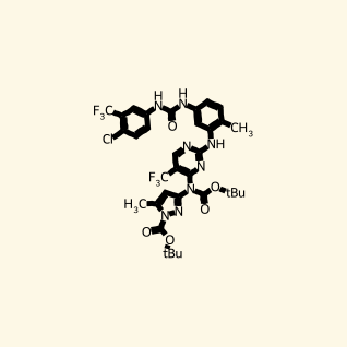 Cc1ccc(NC(=O)Nc2ccc(Cl)c(C(F)(F)F)c2)cc1Nc1ncc(C(F)(F)F)c(N(C(=O)OC(C)(C)C)c2cc(C)n(C(=O)OC(C)(C)C)n2)n1